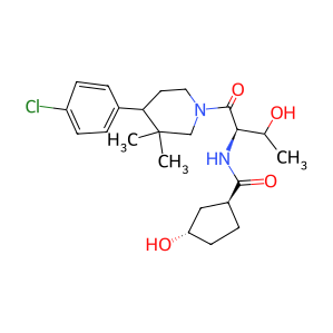 CC(O)[C@@H](NC(=O)[C@H]1CC[C@H](O)C1)C(=O)N1CCC(c2ccc(Cl)cc2)C(C)(C)C1